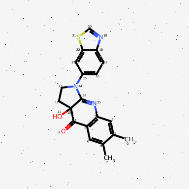 Cc1cc2c(cc1C)C(=O)C1(O)CCN(c3ccc4ncsc4c3)C1=N2